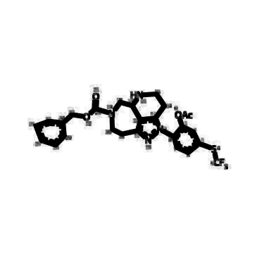 CC(=O)Oc1cc(SC(F)(F)F)ccc1-n1nc2c3c1CCNC3CN(C(=O)OCc1ccccc1)CC2